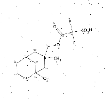 CC1(COC(=O)C(F)(F)S(=O)(=O)O)CC2CCCC(O)(C2)C1